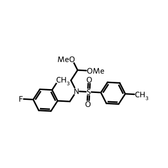 COC(CN(Cc1ccc(F)cc1C)S(=O)(=O)c1ccc(C)cc1)OC